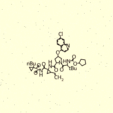 C=CC1CC1(NC(=O)C1CC(Oc2ccnc3cc(Cl)ccc23)CN1C(=O)C(NC(=O)OC1CCCC1)C(C)(C)C)C(=O)NS(=O)(=O)C1(CCCC)CC1